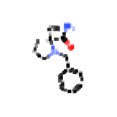 COC1(C(N)=O)CCCN1Cc1ccccc1